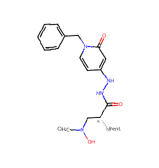 CCCCC[C@H](CN(O)C=O)C(=O)NNc1ccn(Cc2ccccc2)c(=O)c1